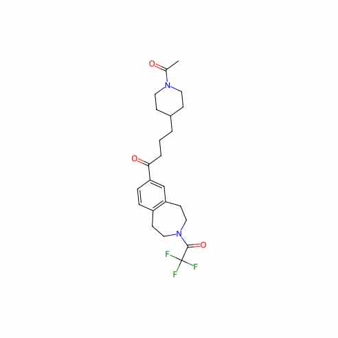 CC(=O)N1CCC(CCCC(=O)c2ccc3c(c2)CCN(C(=O)C(F)(F)F)CC3)CC1